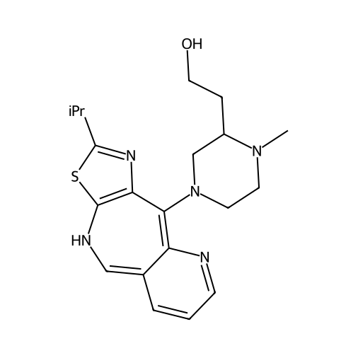 CC(C)c1nc2c(s1)NC=c1cccnc1=C2N1CCN(C)C(CCO)C1